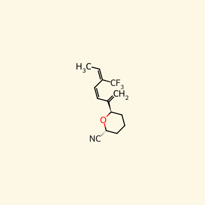 C=C(/C=C\C(=C/C)C(F)(F)F)[C@H]1CCC[C@H](C#N)O1